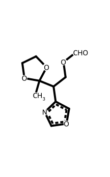 CC1(C(COC=O)c2cocn2)OCCO1